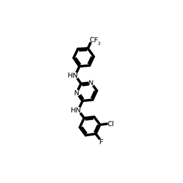 Fc1ccc(Nc2ccnc(Nc3ccc(C(F)(F)F)cc3)n2)cc1Cl